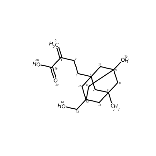 C=C(CCC12CC3(C)CC(O)(CC(CO)(C3)C1)C2)C(=O)O